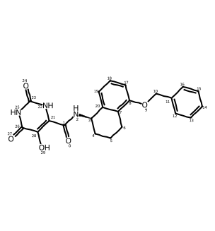 O=C(N[C@@H]1CCCc2c(OCc3ccccc3)cccc21)c1[nH]c(=O)[nH]c(=O)c1O